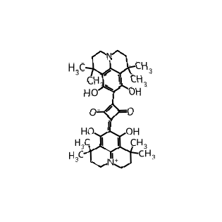 CC1(C)CCN2CCC(C)(C)c3c(O)c(C4=C([O-])C(=c5c(O)c6c7c(c5O)C(C)(C)CC[N+]=7CCC6(C)C)C4=O)c(O)c1c32